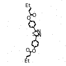 CCC=CC(=O)Oc1ccc(-c2nnc(-c3ccc(OC(=O)C=CCC)cc3)s2)cc1